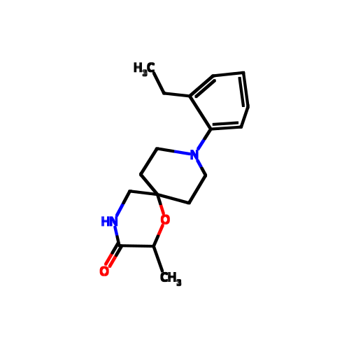 CCc1ccccc1N1CCC2(CC1)CNC(=O)C(C)O2